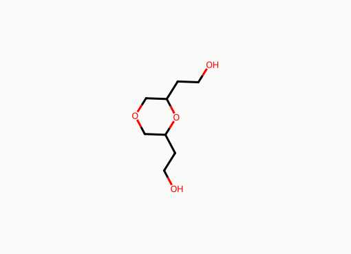 OCCC1COCC(CCO)O1